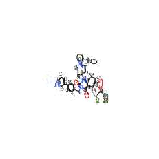 O=CN1CCC(n2c(=O)n(Cc3ccc(-c4cccnc4)cc3)c(=O)c3cc(OC(CF)CF)ccc32)CC1